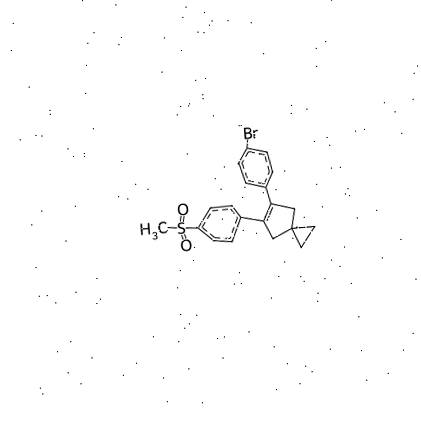 CS(=O)(=O)c1ccc(C2=C(c3ccc(Br)cc3)CC3(CC3)C2)cc1